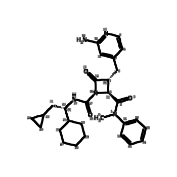 CN(C(=O)[C@@H]1[C@@H](Cc2ccnc(N)c2)C(=O)N1C(=O)N[C@@H](CC1CC1)C1CCCCC1)c1ccccc1